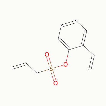 C=CCS(=O)(=O)Oc1ccccc1C=C